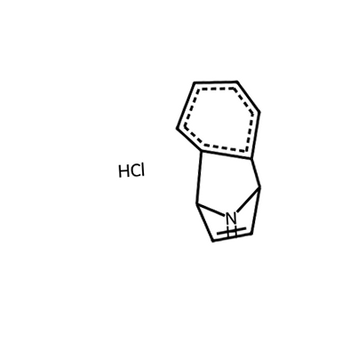 C1=CC2NC1c1ccccc12.Cl